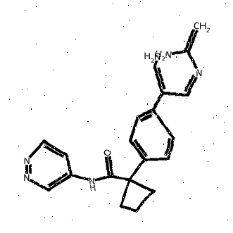 C=C(N)/N=C\C(=C/N)c1ccc(C2(C(=O)Nc3ccnnc3)CCC2)cc1